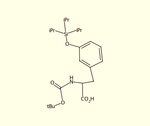 CC(C)[Si](Oc1cccc(CC(NC(=O)OC(C)(C)C)C(=O)O)c1)(C(C)C)C(C)C